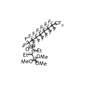 CCC(N(CC)S(=O)(=O)C(F)(F)C(F)(F)C(F)(F)C(F)(F)C(F)(F)C(F)(F)C(F)(F)C(F)(F)F)[Si](OC)(OC)OC